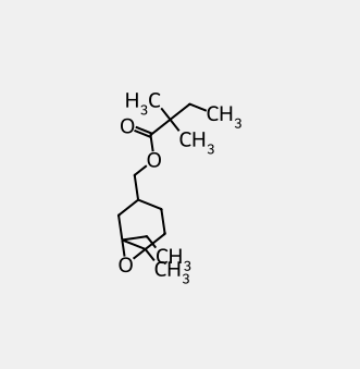 CCC(C)(C)C(=O)OCC1CCC2(C)OC2(CC)C1